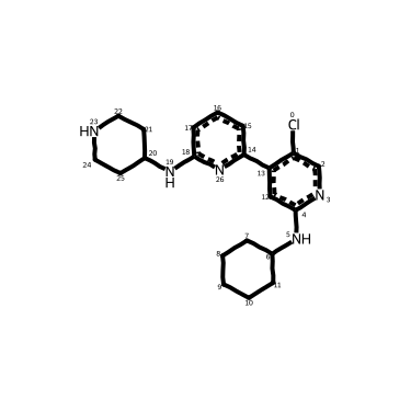 Clc1cnc(NC2CCCCC2)cc1-c1cccc(NC2CCNCC2)n1